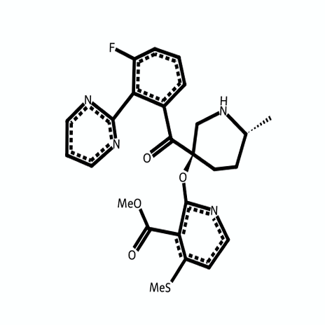 COC(=O)c1c(SC)ccnc1O[C@]1(C(=O)c2cccc(F)c2-c2ncccn2)CC[C@@H](C)NC1